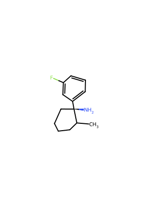 CC1CCCC[C@]1(N)c1cccc(F)c1